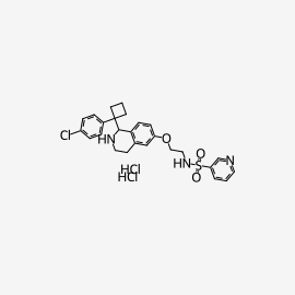 Cl.Cl.O=S(=O)(NCCOc1ccc2c(c1)CCNC2C1(c2ccc(Cl)cc2)CCC1)c1cccnc1